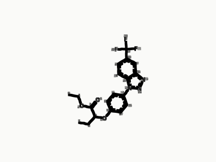 CCOC(=O)C(CC)Oc1ccc(-n2nnc3cc(C(F)(F)F)ccc32)cc1